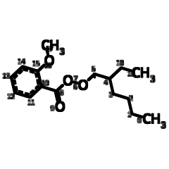 CCCCC([CH]OOC(=O)c1ccccc1OC)CC